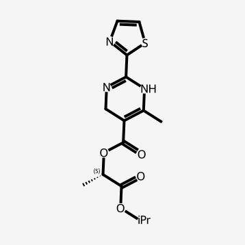 CC1=C(C(=O)O[C@@H](C)C(=O)OC(C)C)CN=C(c2nccs2)N1